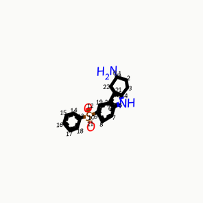 N[C@H]1CCc2[nH]c3ccc(S(=O)(=O)c4ccccc4)cc3c2C1